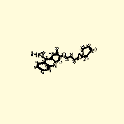 CNc1c2ccccc2nc2cc(OCCCN3CCCC3)c(C)cc12